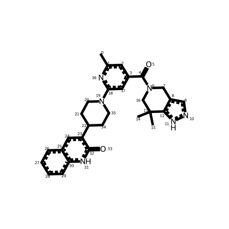 Cc1cc(C(=O)N2Cc3cn[nH]c3C(C)(C)C2)cc(N2CCC(c3cc4ccccc4[nH]c3=O)CC2)n1